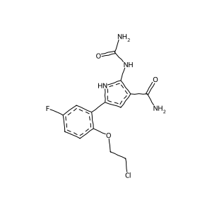 NC(=O)Nc1[nH]c(-c2cc(F)ccc2OCCCl)cc1C(N)=O